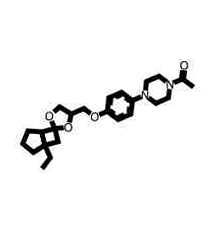 CCC12CCCC1C1(C2)OCC(COc2ccc(N3CCN(C(C)=O)CC3)cc2)O1